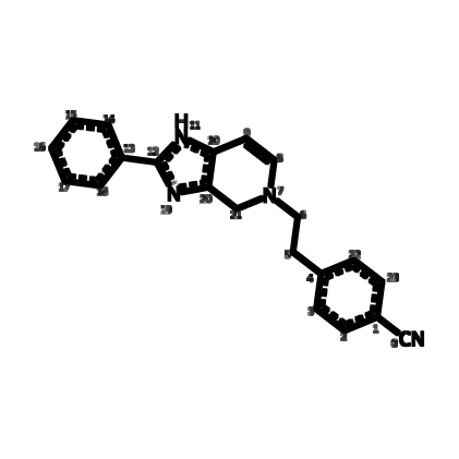 N#Cc1ccc(CCN2C=Cc3[nH]c(-c4ccccc4)nc3C2)cc1